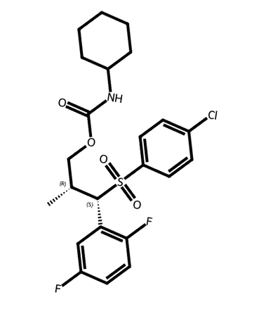 C[C@H](COC(=O)NC1CCCCC1)[C@@H](c1cc(F)ccc1F)S(=O)(=O)c1ccc(Cl)cc1